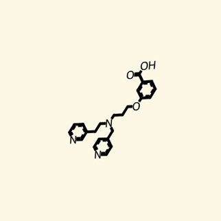 O=C(O)c1cccc(OCCCN(CCc2cccnc2)Cc2ccncc2)c1